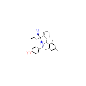 C=CCC(C#N)(C#N)C1=CCCCC1C(/C=C/c1ccc(OC)cc1)c1c(C)cc(C)cc1C